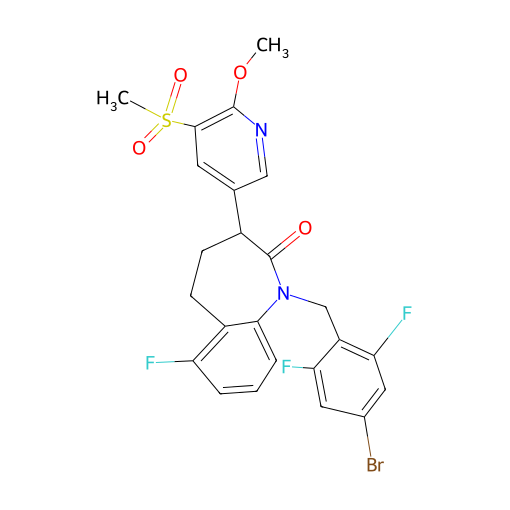 COc1ncc(C2CCc3c(F)cccc3N(Cc3c(F)cc(Br)cc3F)C2=O)cc1S(C)(=O)=O